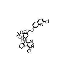 CC1(C)O[C@@H]2[C@@H](COc3ccc4ccc(Cl)nc4c3)C[C@@H](n3c4c(c5c(Cl)ncnc53)CCC4)[C@@H]2O1